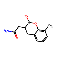 Cc1cccc2c1OB(O)C(CC(N)=O)C2